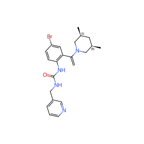 C=C(c1cc(Br)ccc1NC(=O)NCc1cccnc1)N1C[C@H](C)C[C@H](C)C1